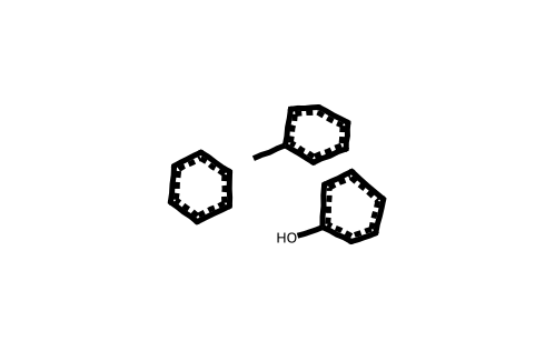 Cc1ccccc1.Oc1ccccc1.c1ccccc1